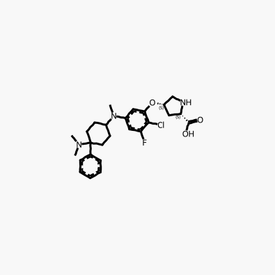 CN(c1cc(F)c(Cl)c(O[C@@H]2CN[C@H](C(=O)O)C2)c1)C1CCC(c2ccccc2)(N(C)C)CC1